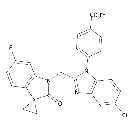 CCOC(=O)c1ccc(-n2c(CN3C(=O)C4(CC4)c4ccc(F)cc43)nc3cc(Cl)ccc32)cc1